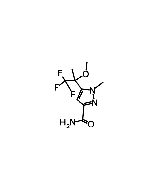 COC(C)(c1cc(C(N)=O)nn1C)C(F)(F)F